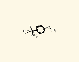 COc1ccc([C@](C)(N)I)cc1